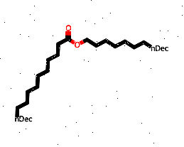 CCCCCCCCCCCCCCCCCCCC(=O)OCCCCCCCCCCCCCCCCC